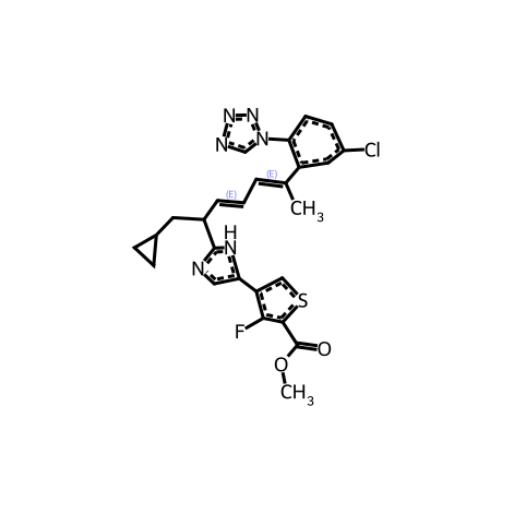 COC(=O)c1scc(-c2cnc(C(/C=C/C=C(\C)c3cc(Cl)ccc3-n3cnnn3)CC3CC3)[nH]2)c1F